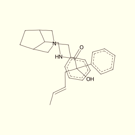 CC=CCC(O)(C(=O)NCC1C2CCC1CN(Cc1ccccc1)C2)c1ccccc1